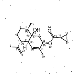 C=C(C)[C@@H]1CC[C@@H](C)[C@]2(O)[CH][C@@H](OC(=O)C3CC3)C(C)=C[C@@H]12